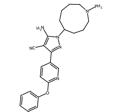 N#Cc1c(-c2ccc(Oc3ccccc3)nc2)nn(C2CCCCN(P)CCC2)c1N